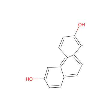 Oc1[c]c2ccc3ccc(O)cc3c2cc1